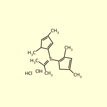 CC1=CC(C)[C]([Ti]([C]2=C(C)C=C(C)C2)=[C](C)C)=C1.Cl.Cl